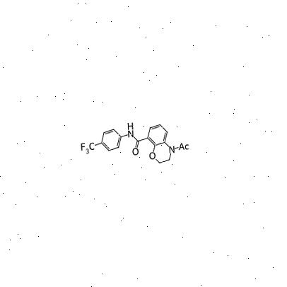 CC(=O)N1CCOc2c(C(=O)Nc3ccc(C(F)(F)F)cc3)cccc21